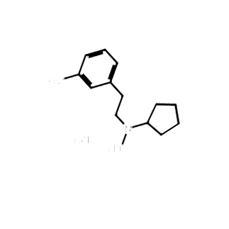 CCCN(CCc1cccc(O)c1)C1CCCC1.Cl